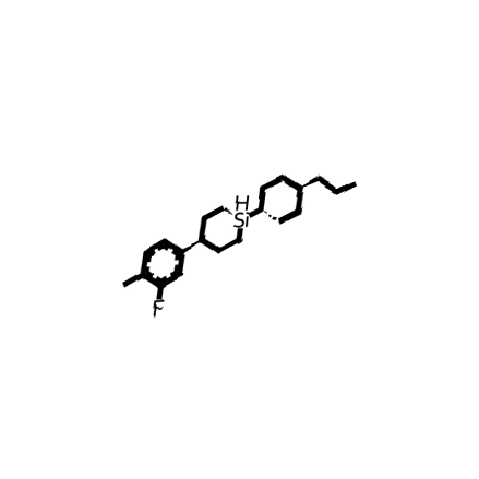 CCC[C@H]1CC[C@H]([Si@H]2CC[C@H](c3ccc(C)c(F)c3)CC2)CC1